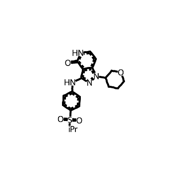 CC(C)S(=O)(=O)c1ccc(Nc2nn(C3CCCOC3)c3cc[nH]c(=O)c23)cc1